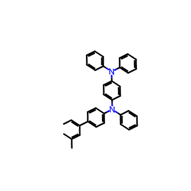 C/C=C(\C=C(C)C)c1ccc(N(c2ccccc2)c2ccc(N(c3ccccc3)c3ccccc3)cc2)cc1